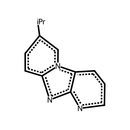 CC(C)c1ccc2nc3ncccc3n2c1